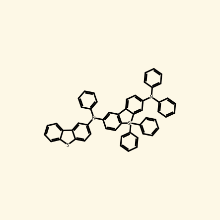 c1ccc(N(c2ccccc2)c2ccc3c(c2)[Si](c2ccccc2)(c2ccccc2)c2ccc(N(c4ccccc4)c4ccc5sc6ccccc6c5c4)cc2-3)cc1